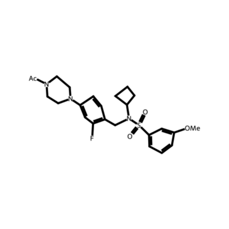 COc1cccc(S(=O)(=O)N(Cc2ccc(N3CCN(C(C)=O)CC3)cc2F)C2CCC2)c1